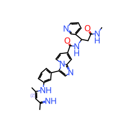 CNC(=O)CC(NC(=O)c1ccn2c(-c3cccc(N/C(C)=C\C(C)=N)c3)cnc2c1)c1cccnc1